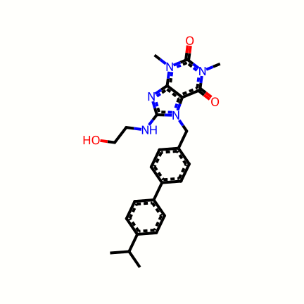 CC(C)c1ccc(-c2ccc(Cn3c(NCCO)nc4c3c(=O)n(C)c(=O)n4C)cc2)cc1